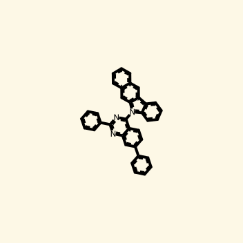 c1ccc(-c2ccc3c(-n4c5ccccc5c5cc6ccccc6cc54)nc(-c4ccccc4)nc3c2)cc1